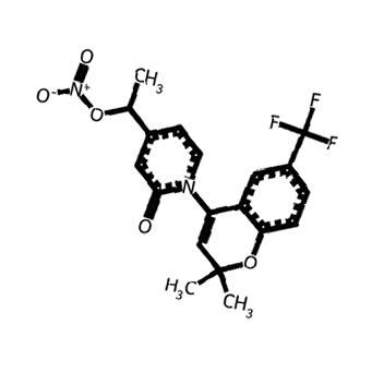 CC(O[N+](=O)[O-])c1ccn(C2=CC(C)(C)Oc3ccc(C(F)(F)F)cc32)c(=O)c1